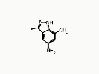 Cc1cc(N)cc2c(I)n[nH]c12